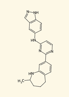 CC1CCCc2ccc(-c3nccc(Nc4ccc5[nH]ncc5c4)n3)cc2N1